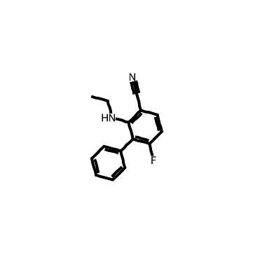 CCNc1c(C#N)ccc(F)c1-c1ccccc1